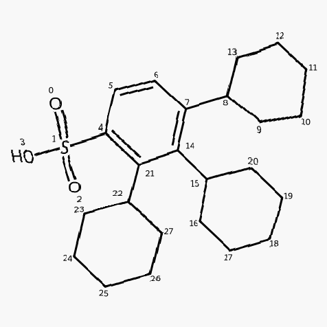 O=S(=O)(O)c1ccc(C2CCCCC2)c(C2CCCCC2)c1C1CCCCC1